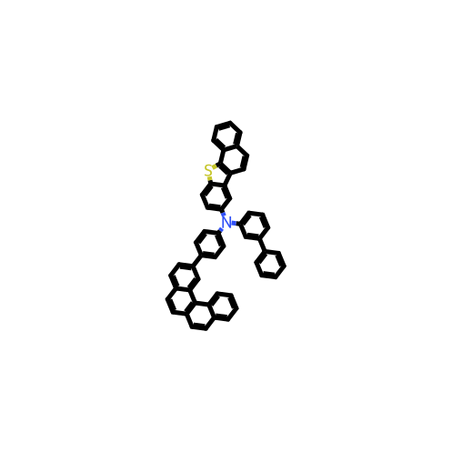 c1ccc(-c2cccc(N(c3ccc(-c4ccc5ccc6ccc7ccccc7c6c5c4)cc3)c3ccc4sc5c6ccccc6ccc5c4c3)c2)cc1